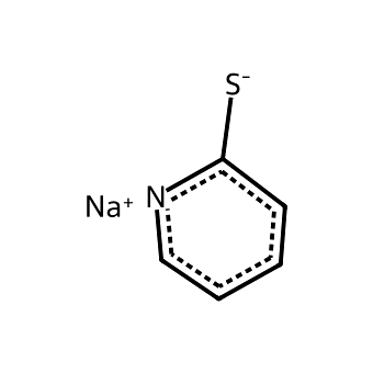 [Na+].[S-]c1ccccn1